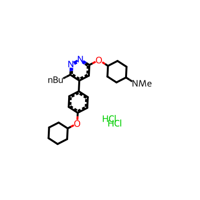 CCCCc1nnc(OC2CCC(NC)CC2)cc1-c1ccc(OC2CCCCC2)cc1.Cl.Cl